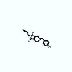 N#CCCn1[nH]c2c(c1=O)CCN(Cc1ccc(Cl)cc1)C2